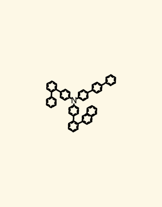 c1ccc(-c2ccc(-c3ccc(N(c4ccc(-c5ccccc5-c5ccccc5)cc4)c4ccc(-c5ccccc5-c5ccc6ccccc6c5)cc4)cc3)cc2)cc1